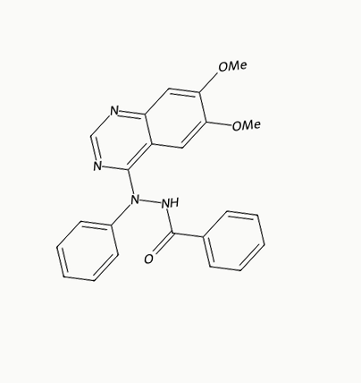 COc1cc2ncnc(N(NC(=O)c3ccccc3)c3ccccc3)c2cc1OC